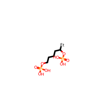 CCC(CCCCOP(=O)(O)O)OP(=O)(O)O